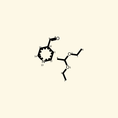 CCOC(C)OCC.O=Cc1ccncc1